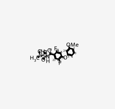 COc1cccc(Oc2cc(F)c(C(=O)NS(=O)(=O)N(C)C)cc2F)c1